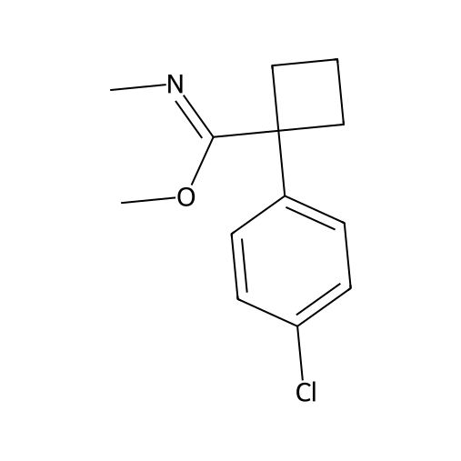 C/N=C(\OC)C1(c2ccc(Cl)cc2)CCC1